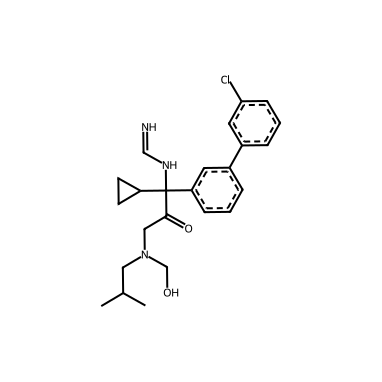 CC(C)CN(CO)CC(=O)C(NC=N)(c1cccc(-c2cccc(Cl)c2)c1)C1CC1